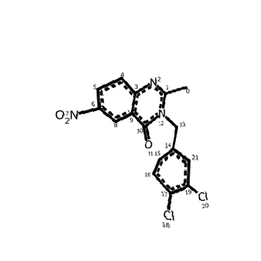 Cc1nc2ccc([N+](=O)[O-])cc2c(=O)n1Cc1ccc(Cl)c(Cl)c1